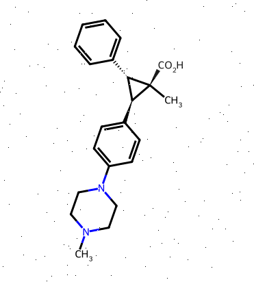 CN1CCN(c2ccc([C@H]3[C@H](c4ccccc4)[C@@]3(C)C(=O)O)cc2)CC1